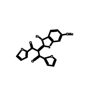 CCN1C(=C(C(=O)c2ccco2)C(=O)c2ccco2)Sc2cc(OC)ccc21